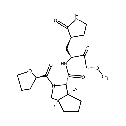 O=C1NCC[C@H]1C[C@H](NC(=O)[C@@H]1[C@H]2CCC[C@H]2CN1C(=O)[C@H]1CCCO1)C(=O)COC(F)(F)F